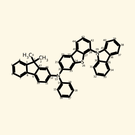 CC1(C)c2ccccc2-c2ccc(N(c3ccccc3)c3ccc4c(c3)sc3c(-n5c6ccccc6c6ccccc65)cccc34)cc21